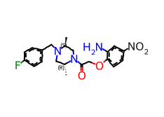 C[C@@H]1CN(Cc2ccc(F)cc2)[C@@H](C)CN1C(=O)COc1ccc([N+](=O)[O-])cc1N